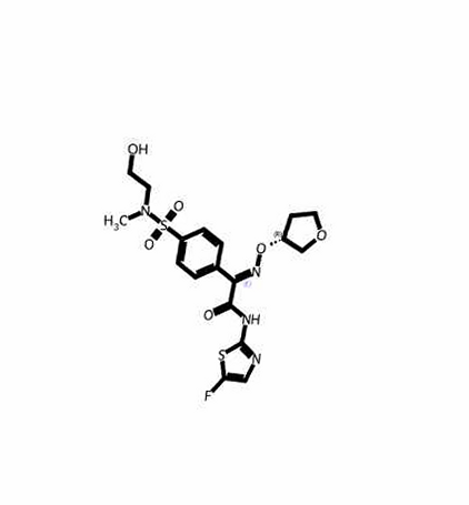 CN(CCO)S(=O)(=O)c1ccc(/C(=N\O[C@@H]2CCOC2)C(=O)Nc2ncc(F)s2)cc1